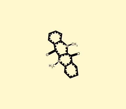 Cn1c2ccccc2c(=O)c2c1c(=O)c1ccccc1n2C